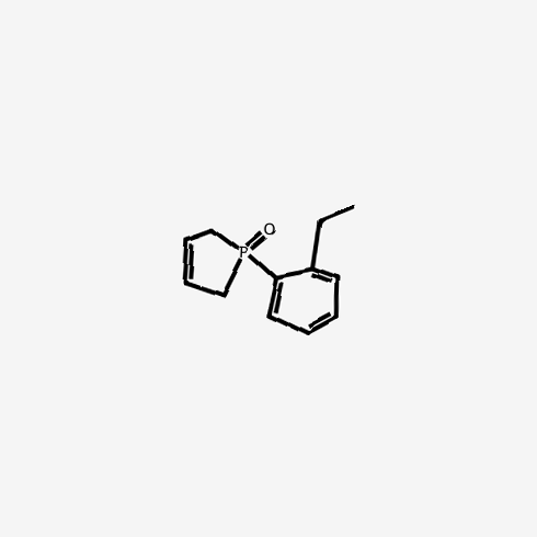 CCc1ccccc1P1(=O)CC=CC1